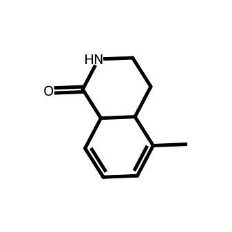 CC1=CC=CC2C(=O)NCCC12